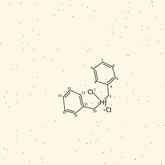 [Cl][Hf]([Cl])([CH2]c1ccccc1)[CH2]c1ccccc1